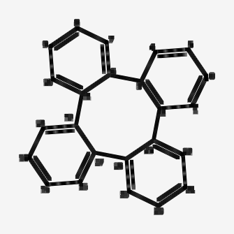 [c]1[c]c2c(cc1)-c1ccccc1-c1ccccc1-c1ccccc1-2